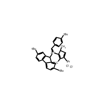 CC1=[C](/[Zr+2](=[CH]\c2ccc(C(C)(C)C)cc2)[CH]2c3cc(C(C)(C)C)ccc3-c3ccc(C(C)(C)C)cc32)C(C)C=C1C(C)C.[Cl-].[Cl-]